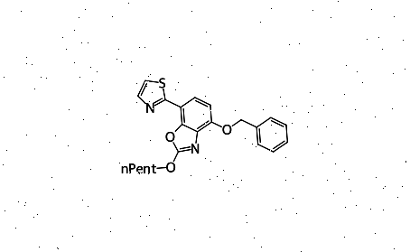 CCCCCOc1nc2c(OCc3ccccc3)ccc(-c3nccs3)c2o1